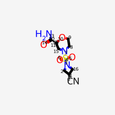 N#CC1CN(S(=O)(=O)N2CCO[C@H](C(N)=O)C2)C1